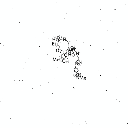 CC[C@H]1OC(=O)[C@H](C)[C@@H](C2C[C@@](C)(OC)[C@@H](O)[C@H](C)O2)[C@H](C)[C@@H](O[C@@H]2O[C@H](C)C[C@H](N(C)CCc3cn(Cc4ccc(S(=O)(=O)NC)cc4)nn3)[C@H]2O)[C@](C)(O)C[C@@H](C)CN(C)[C@H](C)[C@@H](O)[C@]1(C)O